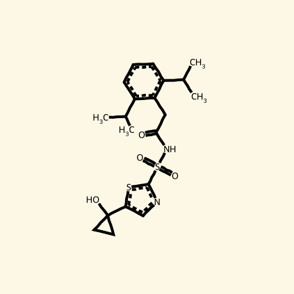 CC(C)c1cccc(C(C)C)c1CC(=O)NS(=O)(=O)c1ncc(C2(O)CC2)s1